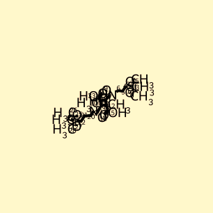 CO[Si](C)(CCCNC(=O)C1C(C)(C(=O)O)C(C(=O)NCCC[Si](C)(OC)OC)C1(C)C(=O)O)OC